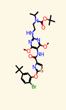 COc1nc(NCCN(C(=O)OC(C)(C)C)C(C)C)nc(OC)c1NC(=O)c1csc(Oc2cc(C(C)(C)C)ccc2Br)n1